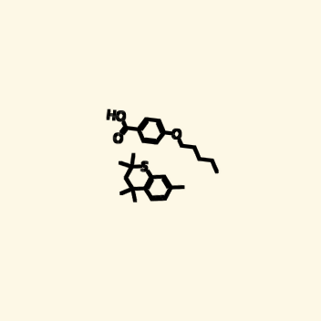 CCCCCOc1ccc(C(=O)O)cc1.Cc1ccc2c(c1)SC(C)(C)CC2(C)C